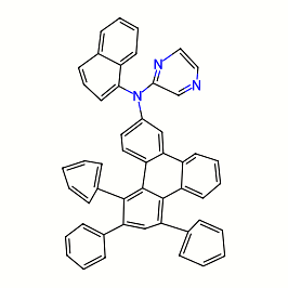 c1ccc(-c2cc(-c3ccccc3)c3c4ccccc4c4cc(N(c5cnccn5)c5cccc6ccccc56)ccc4c3c2-c2ccccc2)cc1